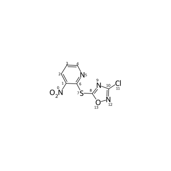 O=[N+]([O-])c1cccnc1Sc1nc(Cl)no1